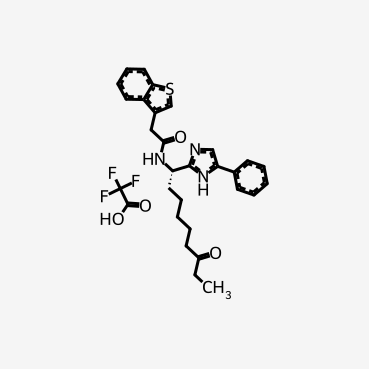 CCC(=O)CCCCC[C@H](NC(=O)Cc1csc2ccccc12)c1ncc(-c2ccccc2)[nH]1.O=C(O)C(F)(F)F